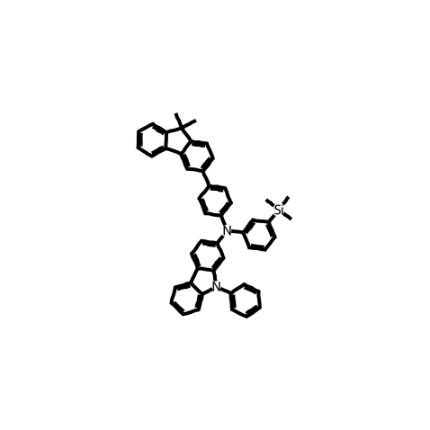 CC1(C)c2ccccc2-c2cc(-c3ccc(N(c4cccc([Si](C)(C)C)c4)c4ccc5c6ccccc6n(-c6ccccc6)c5c4)cc3)ccc21